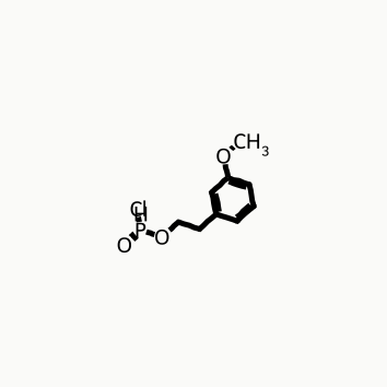 COc1cccc(CCO[PH](=O)Cl)c1